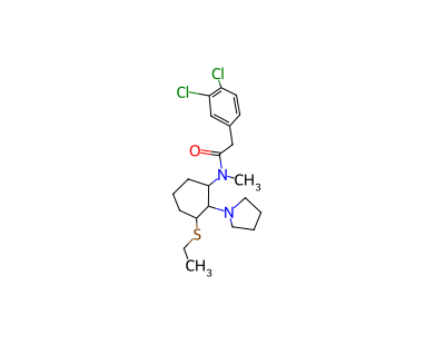 CCSC1CCCC(N(C)C(=O)Cc2ccc(Cl)c(Cl)c2)C1N1CCCC1